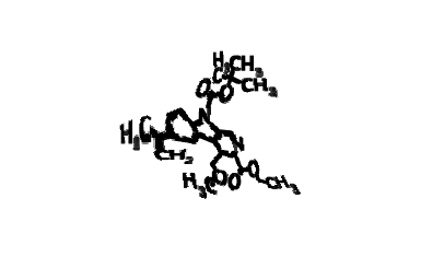 C=C(C)c1ccc2c(c1)c1c(COC)c(C(=O)OCC)ncc1n2C(=O)OC(C)(C)C